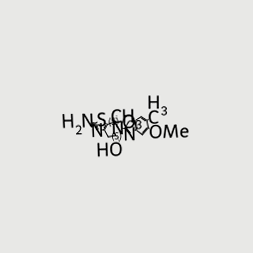 COc1cc2nc(N3[C@H](CO)Cc4nc(N)sc4[C@@H]3C)oc2cc1C